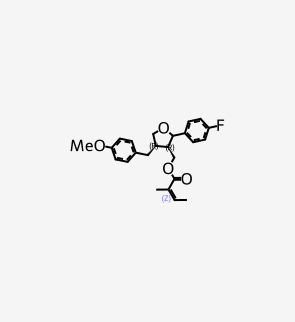 C/C=C(/C)C(=O)OC[C@@H]1C(c2ccc(F)cc2)OC[C@@H]1Cc1ccc(OC)cc1